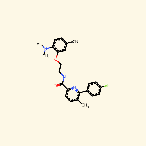 CC(=O)N(C)c1ccc(C#N)cc1OCCNC(=O)c1ccc(C)c(-c2ccc(F)cc2)n1